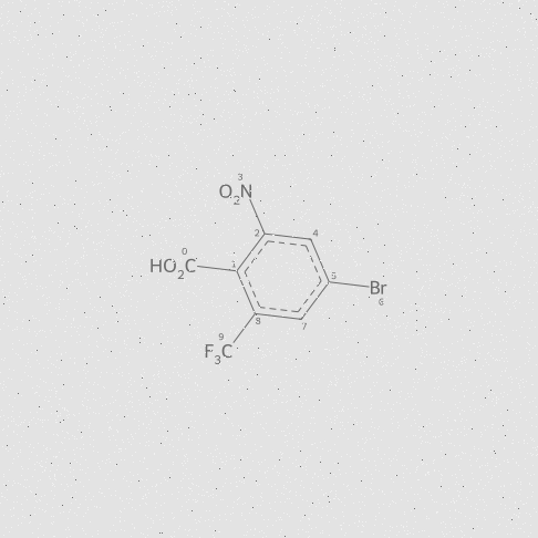 O=C(O)c1c([N+](=O)[O-])cc(Br)cc1C(F)(F)F